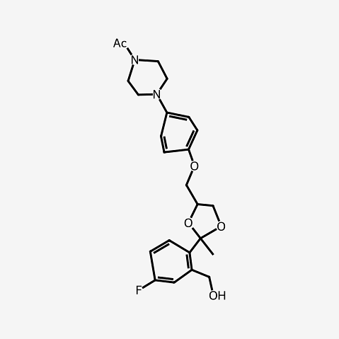 CC(=O)N1CCN(c2ccc(OCC3COC(C)(c4ccc(F)cc4CO)O3)cc2)CC1